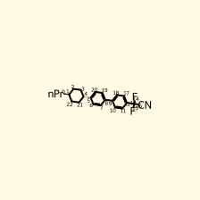 CCC[C@H]1CC[C@H](c2ccc(-c3ccc(C(F)(F)C#N)cc3)cc2)CC1